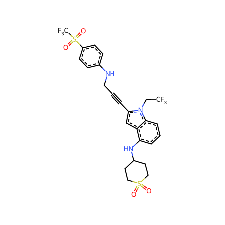 O=S1(=O)CCC(Nc2cccc3c2cc(C#CCNc2ccc(S(=O)(=O)C(F)(F)F)cc2)n3CC(F)(F)F)CC1